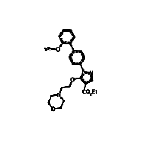 CCCOc1ccccc1-c1ccc(-n2ncc(C(=O)OCC)c2OCCN2CCOCC2)cc1